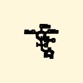 COc1cc(C(I)(Cn2ncnn2)OC(N)=O)cc(OC)c1OC